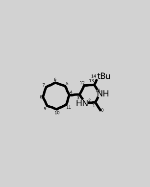 CC1NC(C2CCCCCCC2)CC(C(C)(C)C)N1